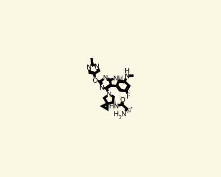 CNc1cc(F)cc2c1[nH]c1nc(Oc3cnc(C)nc3)nc(N3C[C@H](NC(=O)[C@H](C)N)C4(CC4)C3)c12